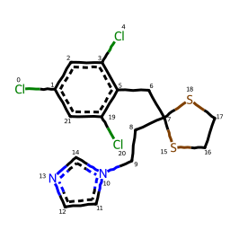 Clc1cc(Cl)c(CC2(CCn3ccnc3)SCCS2)c(Cl)c1